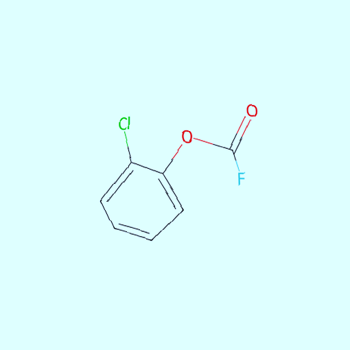 O=C(F)Oc1ccccc1Cl